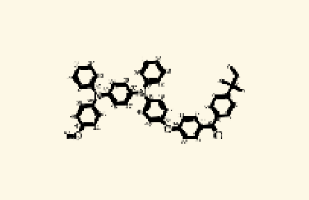 CCC(C)(C)c1ccc(C(=O)c2ccc(Oc3ccc(N(c4ccccc4)c4ccc(N(c5ccccc5)c5ccc(OC)cc5)cc4)cc3)cc2)cc1